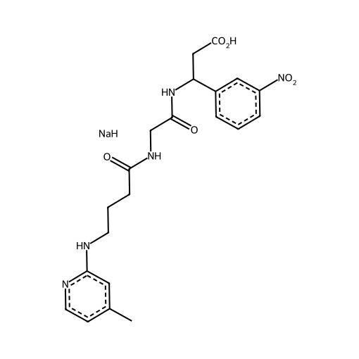 Cc1ccnc(NCCCC(=O)NCC(=O)NC(CC(=O)O)c2cccc([N+](=O)[O-])c2)c1.[NaH]